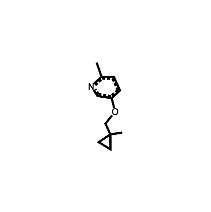 Cc1ccc(OCC2(C)CC2)cn1